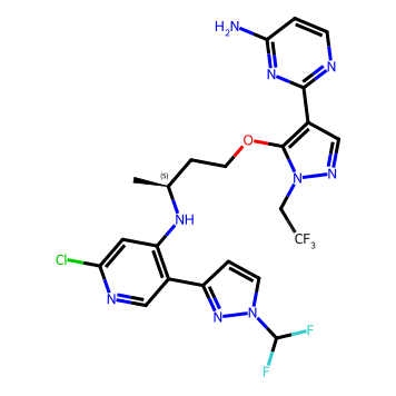 C[C@@H](CCOc1c(-c2nccc(N)n2)cnn1CC(F)(F)F)Nc1cc(Cl)ncc1-c1ccn(C(F)F)n1